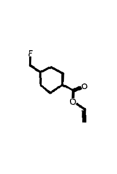 C=COC(=O)C1CCC(CF)CC1